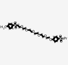 CCCS(=O)(=O)c1ccc(OCCOCCOCCOCCOCCOCCS(=O)(=O)c2ccc(C)cc2)cc1